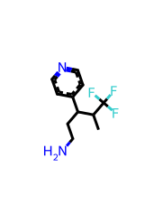 CC(C(CCN)c1ccncc1)C(F)(F)F